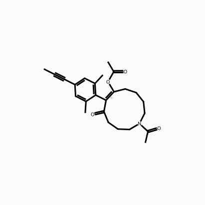 CC#Cc1cc(C)c(/C2=C(\OC(C)=O)CCCCN(C(C)=O)CCCC2=O)c(C)c1